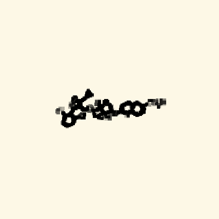 O=C(O)c1ccc2nc(O[C@@H]3CO[C@H]4[C@@H]3OC[C@H]4OCc3c(-c4c(Cl)cccc4Cl)noc3C3CC3)ccc2c1